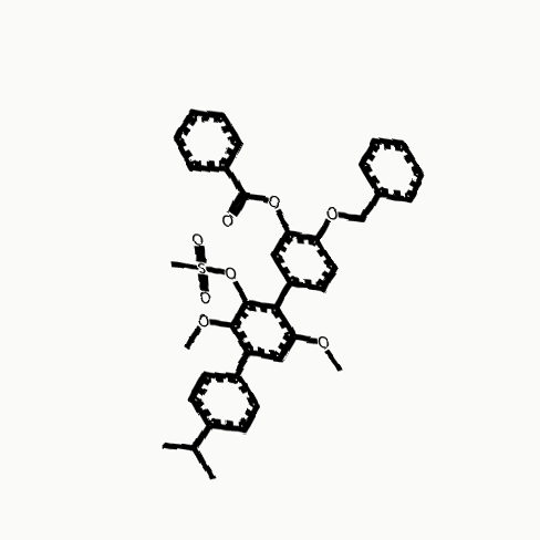 COc1cc(-c2ccc(C(C)C)cc2)c(OC)c(OS(C)(=O)=O)c1-c1ccc(OCc2ccccc2)c(OC(=O)c2ccccc2)c1